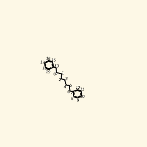 [CH](CCCCCCc1ccccc1)Cc1ccccc1